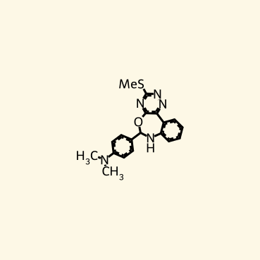 CSc1nnc2c(n1)OC(c1ccc(N(C)C)cc1)Nc1ccccc1-2